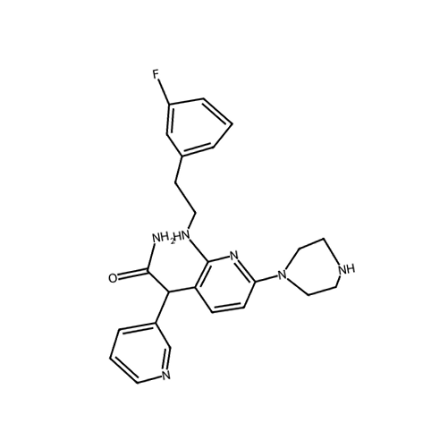 NC(=O)C(c1cccnc1)c1ccc(N2CCNCC2)nc1NCCc1cccc(F)c1